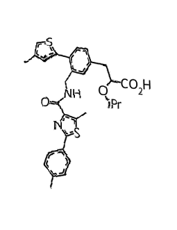 Cc1ccc(-c2nc(C(=O)NCc3cc(CC(OC(C)C)C(=O)O)ccc3-c3cc(C)cs3)c(C)s2)cc1